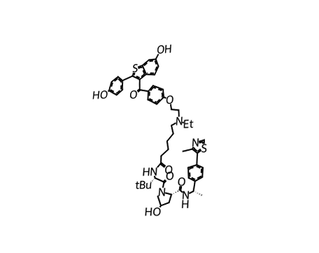 CCN(CCCCCC(=O)N[C@H](C(=O)N1C[C@H](O)C[C@H]1C(=O)N[C@@H](C)c1ccc(-c2scnc2C)cc1)C(C)(C)C)CCOc1ccc(C(=O)c2c(-c3ccc(O)cc3)sc3cc(O)ccc23)cc1